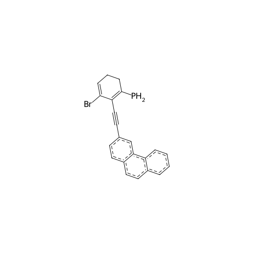 PC1=C(C#Cc2ccc3ccc4ccccc4c3c2)C(Br)=CCC1